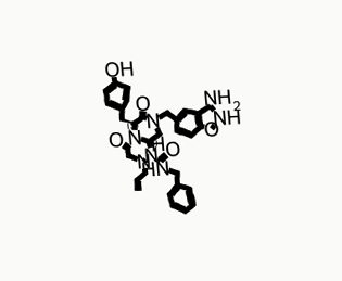 C=CCN1CC(=O)N2[C@@H](Cc3ccc(O)cc3)C(=O)N(Cc3ccc4c(c3)C(N)NO4)C[C@@H]2N1C(=O)NCc1ccccc1